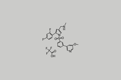 CNCc1cc(-c2ccc(F)cc2F)n(S(=O)(=O)c2cccc(-c3cncc(OC)c3)c2)c1.O=C(O)C(F)(F)F